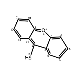 Sc1c2ccccc2[o+]c2ccccc12